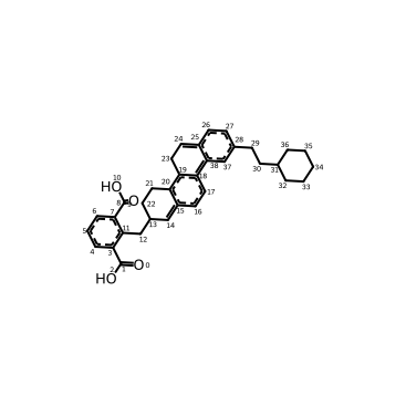 O=C(O)c1cccc(C(=O)O)c1CC1C=c2ccc3c(c2CC1)CC=c1ccc(CCC2CCCCC2)cc1=3